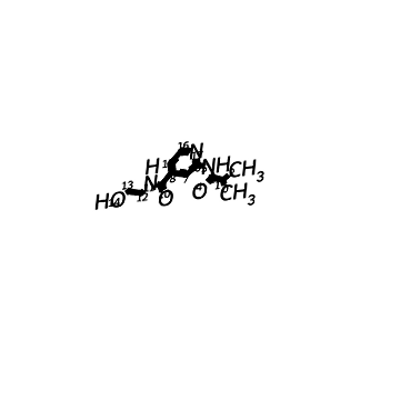 CC(C)C(=O)Nc1cc(C(=O)NCCO)ccn1